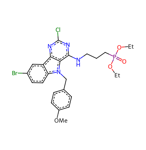 CCOP(=O)(CCCNc1nc(Cl)nc2c3cc(Br)ccc3n(Cc3ccc(OC)cc3)c12)OCC